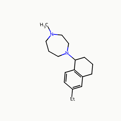 CCc1ccc2c(c1)CCCC2N1CCCN(C)CC1